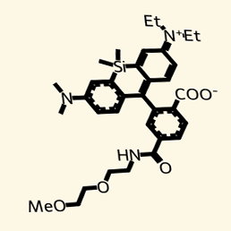 CC[N+](CC)=C1C=CC2=C(c3cc(C(=O)NCCOCCOC)ccc3C(=O)[O-])c3ccc(N(C)C)cc3[Si](C)(C)C2=C1